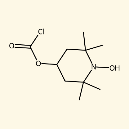 CC1(C)CC(OC(=O)Cl)CC(C)(C)N1O